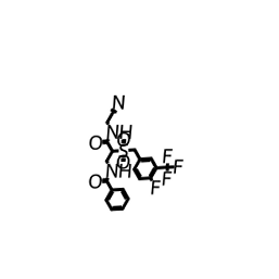 N#CCNC(=O)C(CNC(=O)c1ccccc1)S(=O)(=O)Cc1ccc(F)c(C(F)(F)F)c1